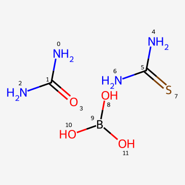 NC(N)=O.NC(N)=S.OB(O)O